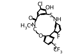 CN1CCOc2ccc(SC(F)(F)F)cc2-c2cc(ccc2F)NSc2cc(cc(Cl)c2O)C1=O